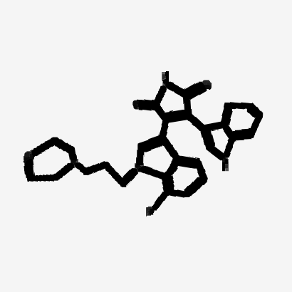 O=C1NC(=O)C(c2cn(CCCN3CCOCC3)c3c(Br)cccc23)=C1c1c[nH]c2ccccc12